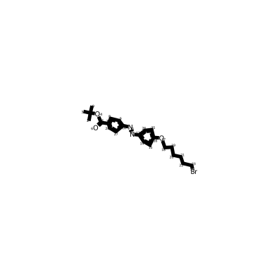 CC(C)(C)OC(=O)c1ccc(/N=N/c2ccc(OCCCCCCBr)cc2)cc1